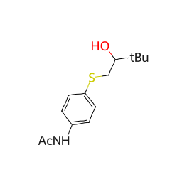 CC(=O)Nc1ccc(SCC(O)C(C)(C)C)cc1